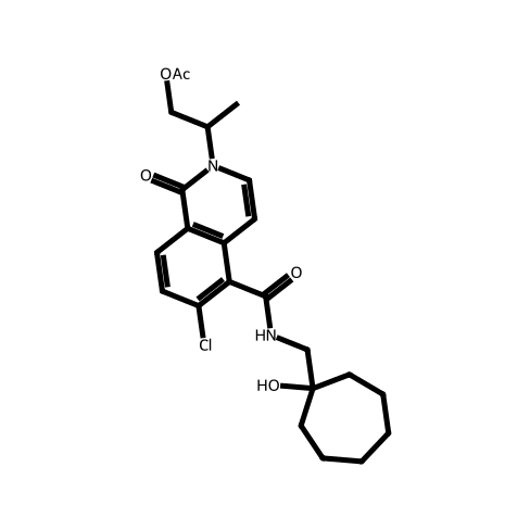 CC(=O)OCC(C)n1ccc2c(C(=O)NCC3(O)CCCCCC3)c(Cl)ccc2c1=O